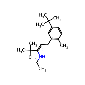 CCN/C(=C\Cc1cc(C(C)(C)C)ccc1C)C(C)(C)C